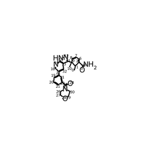 CC1C(C(N)=O)=CC=CC1(C)c1n[nH]c2ncc(-c3cccc(C(=O)N4CCOCC4)c3)cc12